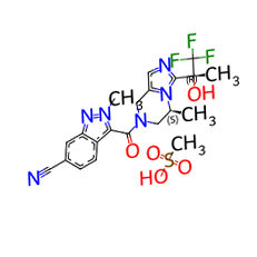 CS(=O)(=O)O.C[C@H]1CN(C(=O)c2c3ccc(C#N)cc3nn2C)Cc2cnc([C@@](C)(O)C(F)(F)F)n21